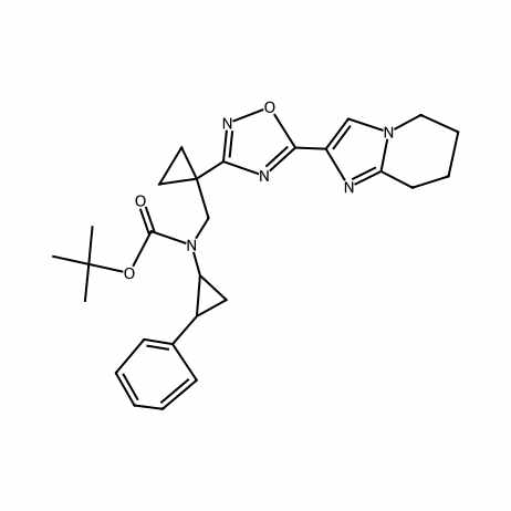 CC(C)(C)OC(=O)N(CC1(c2noc(-c3cn4c(n3)CCCC4)n2)CC1)C1CC1c1ccccc1